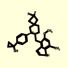 COc1cc(C)c2[nH]ccc2c1CN1CCC2(C[C@@H]1c1ccc(C3(O)CC3)cc1)CC(F)(F)C2